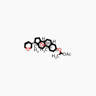 CC(=O)OC(C)O[C@H]1CC[C@@]2(C)[C@H](CC[C@@H]3[C@@H]2CC[C@]2(C)[C@@H](C4C=CCOC4)CC[C@]32O)C1